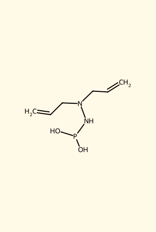 C=CCN(CC=C)NP(O)O